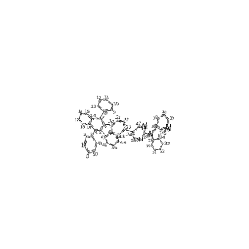 c1ccc(-c2c3c(c(-c4ccccc4)c4ccccc24)-c2ccc(-c4cnc(-n5c6ccccc6c6ncccc65)nc4)c4cccc-3c24)cc1